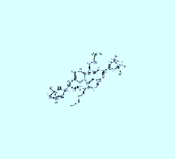 CCCCOc1ccc2cc(B3OC(C)(C)C(C)(C)O3)ccc2c1-c1c(OCCCC)ccc2cc(B3OC(C)(C)C(C)(C)O3)ccc12